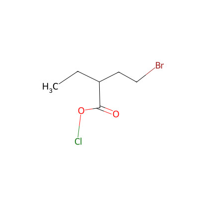 CCC(CCBr)C(=O)OCl